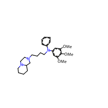 COc1cc(N(CCCCN2CCN3CCCCC3C2)c2ccccc2)cc(OC)c1OC